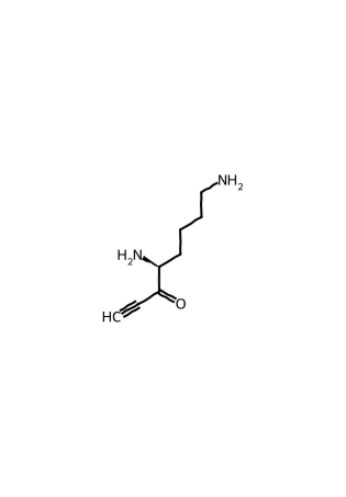 C#CC(=O)[C@@H](N)CCCCN